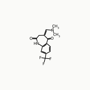 CN(C)C=C1CC(=O)Nc2cc(C(F)(F)F)ccc2C1=O